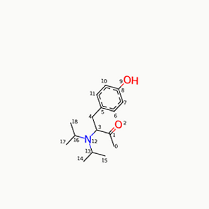 CC(=O)C(Cc1ccc(O)cc1)N(C(C)C)C(C)C